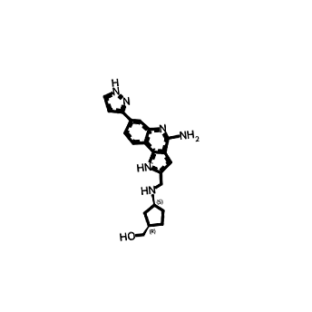 Nc1nc2cc(-c3cc[nH]n3)ccc2c2[nH]c(CN[C@H]3CC[C@@H](CO)C3)cc12